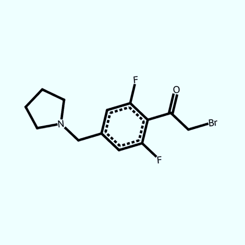 O=C(CBr)c1c(F)cc(CN2CCCC2)cc1F